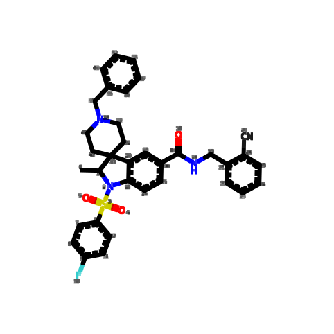 CC1N(S(=O)(=O)c2ccc(F)cc2)c2ccc(C(=O)NCc3ccccc3C#N)cc2C12CCN(Cc1ccccc1)CC2